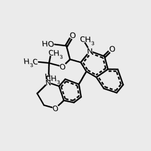 Cn1c(C(OC(C)(C)C)C(=O)O)c(-c2ccc3c(c2)NCCO3)c2ccccc2c1=O